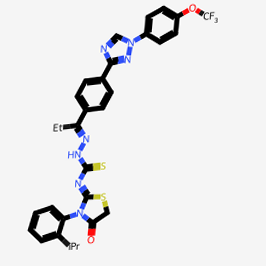 CC/C(=N\NC(=S)/N=C1\SCC(=O)N1c1ccccc1C(C)C)c1ccc(-c2ncn(-c3ccc(OC(F)(F)F)cc3)n2)cc1